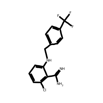 N=C(N)c1c(Cl)cccc1NCc1ccc(C(F)(F)F)cc1